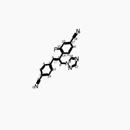 N#Cc1ccc(/C=C(\Cn2cncn2)c2ccc(C#N)cc2F)cc1